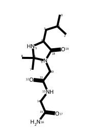 CC(C)CC1NC(C)(C)N(CC(=O)NCC(N)=O)C1=O